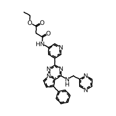 CCOC(=O)CC(=O)Nc1cncc(-c2nc(NCc3cnccn3)c3c(-c4ccccc4)ccn3n2)c1